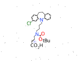 CC(C)(C)OC(=O)N(C/C=C/C(=O)O)CCCCN1c2ccccc2CCc2ccc(Cl)cc21